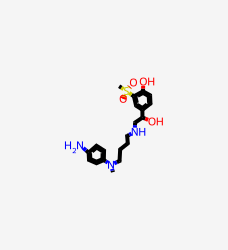 CN(CCCCNCC(O)c1ccc(O)c(S(C)(=O)=O)c1)c1ccc(N)cc1